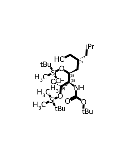 CC(C)C[C@@H](CO)C[C@H](O[Si](C)(C)C(C)(C)C)[C@@H](NC(=O)OC(C)(C)C)[C@@H](C)O[Si](C)(C)C(C)(C)C